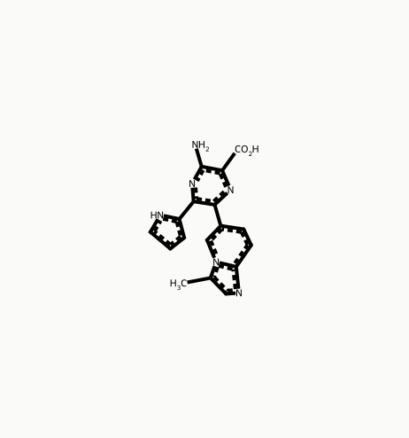 Cc1cnc2ccc(-c3nc(C(=O)O)c(N)nc3-c3ccc[nH]3)cn12